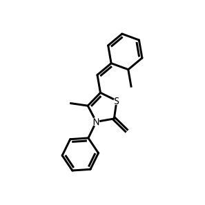 C=C1SC(/C=C2/C=CC=CC2C)=C(C)N1c1ccccc1